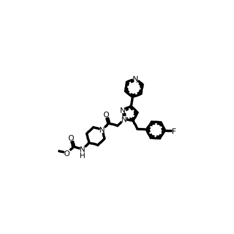 COC(=O)NC1CCN(C(=O)Cn2nc(-c3ccncc3)cc2Cc2ccc(F)cc2)CC1